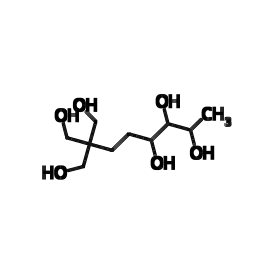 CC(O)C(O)C(O)CCC(CO)(CO)CO